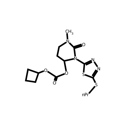 CCCSc1nnc(N2C(=O)N(C)CCC2OC(=O)OC2CCC2)s1